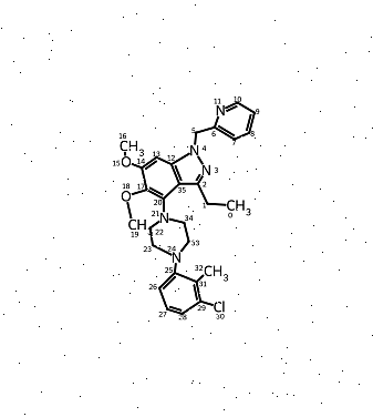 CCc1nn(Cc2ccccn2)c2cc(OC)c(OC)c(N3CCN(c4cccc(Cl)c4C)CC3)c12